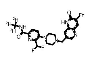 [2H]C([2H])([2H])NC(=O)c1ccc(N2CCN(Cc3cnc4cc(CC)c(=O)[nH]c4c3)CC2)c(C(F)F)n1